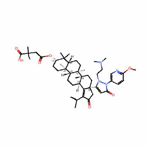 COc1ccc(-n2c(=O)cc([C@@]34CC[C@]5(C)[C@H](CC[C@@H]6[C@@]7(C)CC[C@H](OC(=O)CC(C)(C)C(=O)O)C(C)(C)[C@@H]7CC[C@]65C)C3=C(C(C)C)C(=O)C4)n2CCN(C)C)cn1